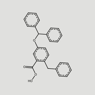 O=C(OO)c1cc(OC(c2ccccc2)c2ccccc2)ccc1Cc1ccccc1